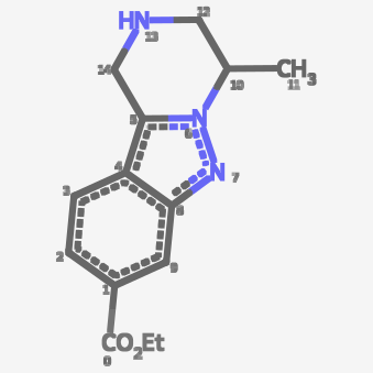 CCOC(=O)c1ccc2c3n(nc2c1)C(C)CNC3